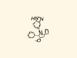 COC1=CC(=O)N(c2ccc3[nH]cnc3c2)C1c1ccccc1